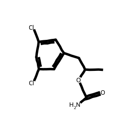 CC(Cc1cc(Cl)cc(Cl)c1)OC(N)=O